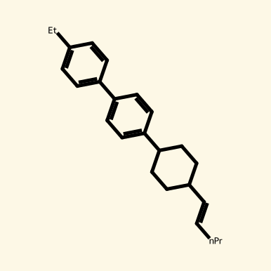 CCC/C=C/C1CCC(c2ccc(-c3ccc(CC)cc3)cc2)CC1